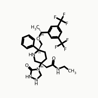 CCNC(=O)C[C@]1(N2CNNC2=O)CC[C@@](CO[C@H](C)c2cc(C(F)(F)F)cc(C(F)(F)F)c2)(c2ccccc2)NC1